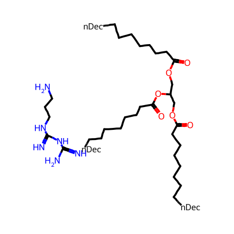 CCCCCCCCCCCCCCCCCC(=O)OCC(COC(=O)CCCCCCCCCCCCCCCCC)OC(=O)CCCCCCCCCCCCCCCCC.N=C(N)NC(=N)NCCCN